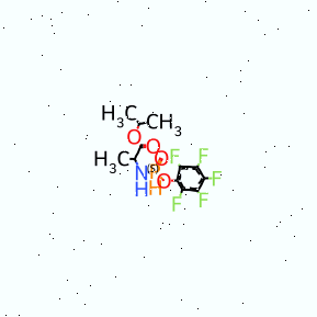 CC(C)OC(=O)C(C)N[P@@H](=O)Oc1c(F)c(F)c(F)c(F)c1F